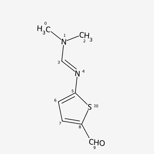 CN(C)/C=N/c1ccc(C=O)s1